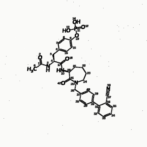 CC(=O)N[C@@H](Cc1ccc(OP(=O)(O)O)cc1)C(=O)N[C@H]1CCCCN(Cc2ccc(-c3ccccc3C#N)cc2)C1=O